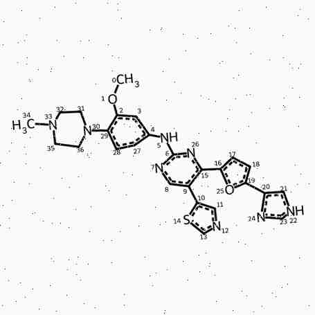 COc1cc(Nc2ncc(-c3cncs3)c(-c3ccc(-c4c[nH]cn4)o3)n2)ccc1N1CCN(C)CC1